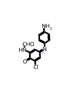 Nc1ccc(/N=C2/C=C(Cl)C(=O)C(NC=O)=C2)cc1